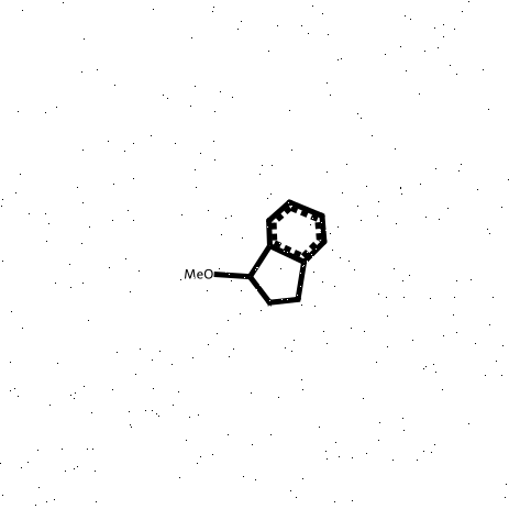 COC1[C]Cc2ccccc21